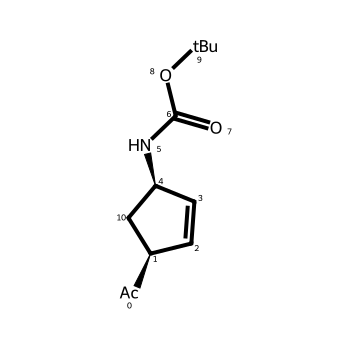 CC(=O)[C@@H]1C=C[C@H](NC(=O)OC(C)(C)C)C1